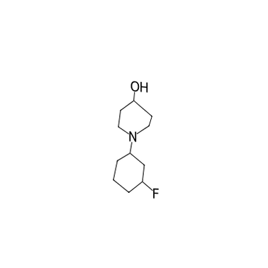 OC1CCN(C2CCCC(F)C2)CC1